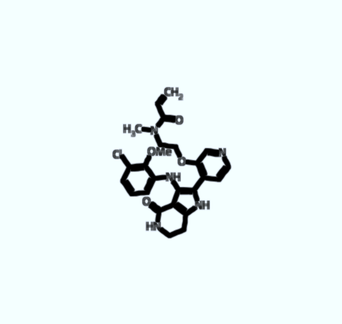 C=CC(=O)N(C)CCOc1cnccc1-c1[nH]c2c(c1Nc1cccc(Cl)c1OC)C(=O)NCC2